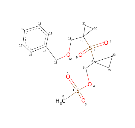 CS(=O)(=O)OCC1(S(=O)(=O)C2(COCc3ccccc3)CC2)CC1